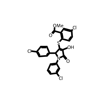 COC(=O)c1cc(Cl)ccc1SC1=C(O)C(=O)N(c2cccc(Cl)c2)C1c1ccc(Cl)cc1